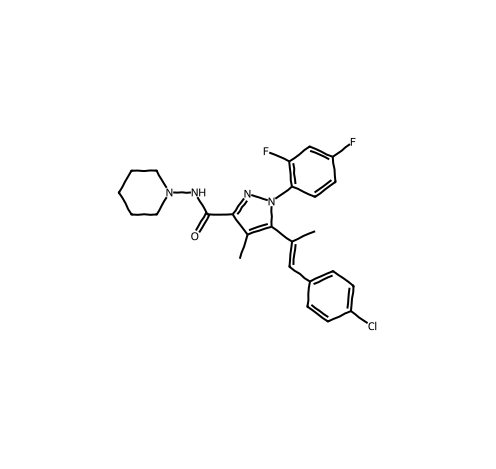 CC(=Cc1ccc(Cl)cc1)c1c(C)c(C(=O)NN2CCCCC2)nn1-c1ccc(F)cc1F